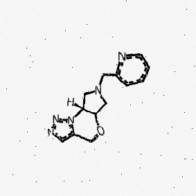 c1ccc(CN2CC3OCc4cnnn4[C@@H]3C2)nc1